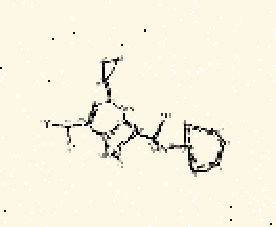 O=C(Nc1cccnc1)c1cnn2c1NC(=C1CC1)C=C2C(F)F